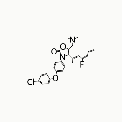 C=C/C=C(F)\C=C(/C)[C@H]1[C@H](CN(C)C)OC(=O)N1c1ccc(Oc2ccc(Cl)cc2)cc1